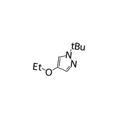 CCOc1cnn(C(C)(C)C)c1